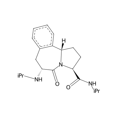 CC(C)NC(=O)[C@@H]1CC[C@H]2c3ccccc3C[C@@H](NC(C)C)C(=O)N12